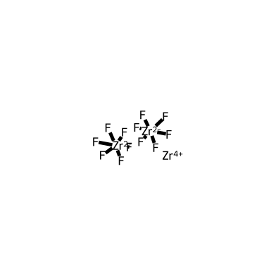 [F][Zr-2]([F])([F])([F])([F])[F].[F][Zr-2]([F])([F])([F])([F])[F].[Zr+4]